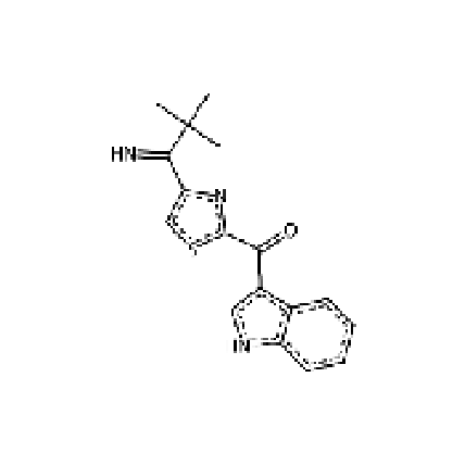 CC(C)(C)C(=N)c1csc(C(=O)c2c[nH]c3ccccc23)n1